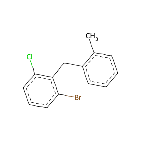 Cc1ccccc1Cc1c(Cl)cccc1Br